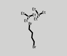 BrCCCCBr.CCN(CC)CC.CCN(CC)CC